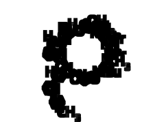 CC[C@H](C)[C@@H]1NC(=O)[C@@H]2CCCN2C(=O)[C@H](Cc2cccc(-c3cccc(N4CCN(C)CC4)n3)c2)N(C)C(=O)[C@H](Cc2ccccc2)NC(=O)C(C(C)C)N(C)C(=O)[C@@H]([C@@H](C)CC)OC(=O)[C@H](C(C)(C)O)N(C)C(=O)[C@H](CC(C)C)NC(=O)C(C(C)C)N(C)C1=O